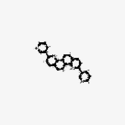 c1cncc(-c2ccc3ccc4c(ccc5ccc(-c6cccnc6)nc54)c3n2)c1